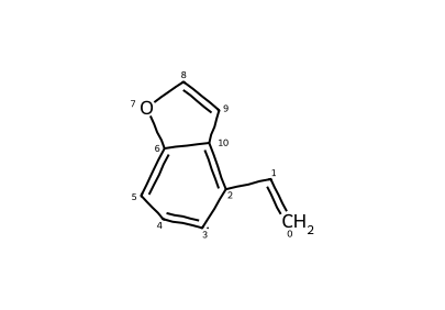 C=Cc1[c]ccc2occc12